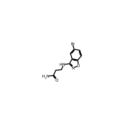 NC(=O)CCNc1noc2ccc(Br)cc12